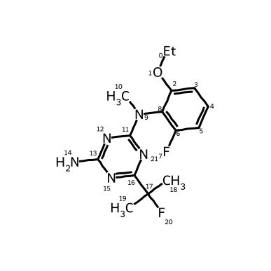 CCOc1cccc(F)c1N(C)c1nc(N)nc(C(C)(C)F)n1